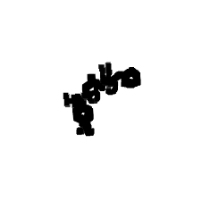 CC(CC(=O)Nc1ccc(N(C)C)cc1)=NNC(=O)Cc1ccccc1